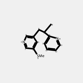 CSc1cncc(CC(C)c2ccccn2)c1